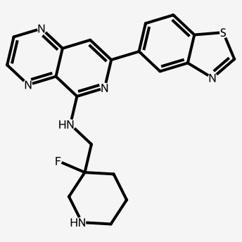 FC1(CNc2nc(-c3ccc4scnc4c3)cc3nccnc23)CCCNC1